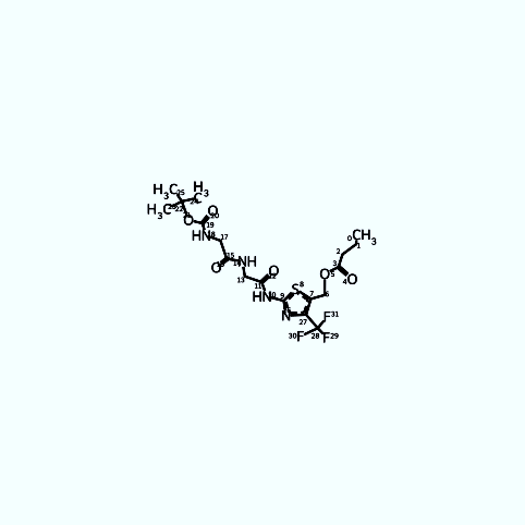 CCCC(=O)OCc1sc(NC(=O)CNC(=O)CNC(=O)OC(C)(C)C)nc1C(F)(F)F